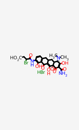 Br.CN(C)[C@@H]1C(O)=C(C(N)=O)C(=O)[C@@]2(O)C(O)=C3C(=O)c4c(ccc(NC(=O)C(Br)CC(=O)O)c4O)CC3CC12